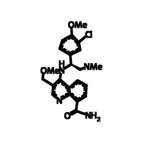 CNC[C@@H](Nc1c(COC)cnc2c(C(N)=O)cccc12)c1ccc(OC)c(Cl)c1